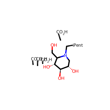 CC(=O)O.CC(=O)O.CC(=O)O.CC(=O)O.CCCC(C)CN1C[C@H](O)[C@@H](O)[C@H](O)C1CO